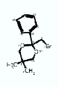 CC1(C)COC(CBr)(c2ccccc2)OC1